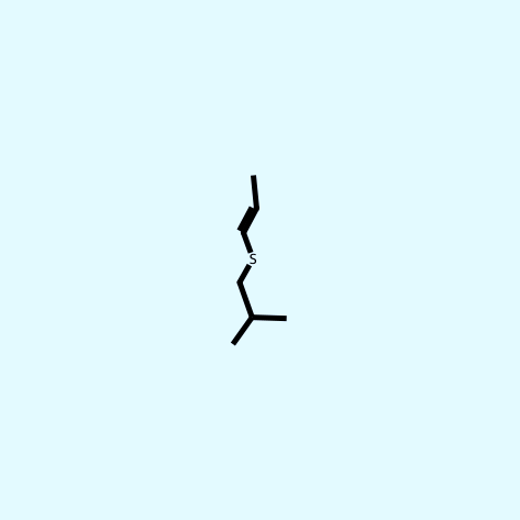 CC=CSCC(C)C